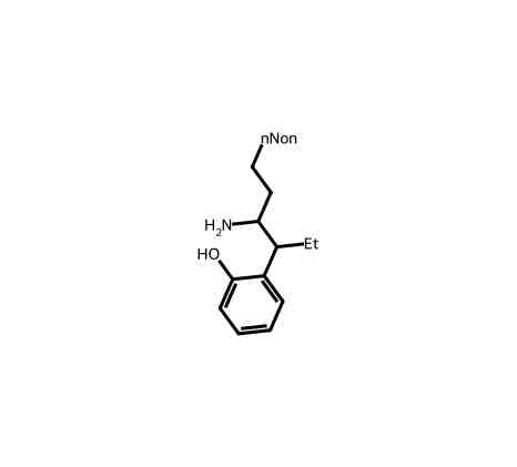 CCCCCCCCCCCC(N)C(CC)c1ccccc1O